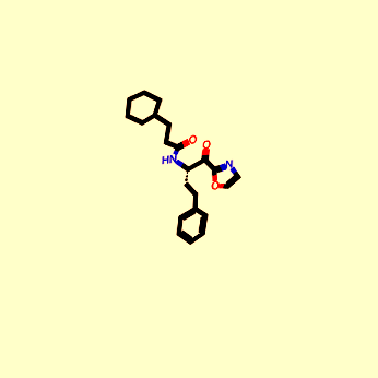 O=C(CCC1CCCCC1)N[C@@H](CCc1ccccc1)C(=O)c1ncco1